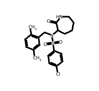 Cc1ccc(C)c(CN(C2CCCCNC2=O)S(=O)(=O)c2ccc(Cl)cc2)c1